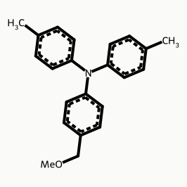 COCc1ccc(N(c2ccc(C)cc2)c2ccc(C)cc2)cc1